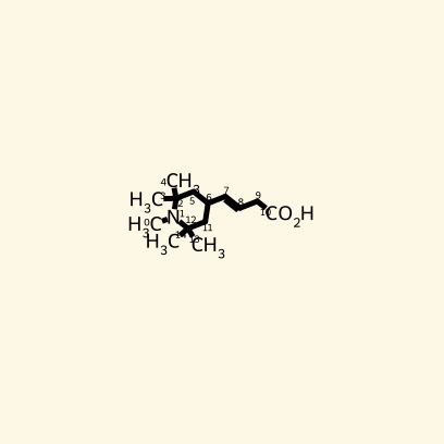 CN1C(C)(C)CC(C=CCC(=O)O)CC1(C)C